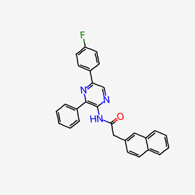 O=C(Cc1ccc2ccccc2c1)Nc1ncc(-c2ccc(F)cc2)nc1-c1ccccc1